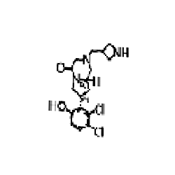 O=C1CN(CC2CNC2)C[C@@H]2C[C@H](c3c(O)ccc(Cl)c3Cl)CN12